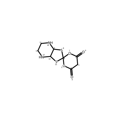 O=C1CC(=O)OC2(O1)SC1NCCNC1S2